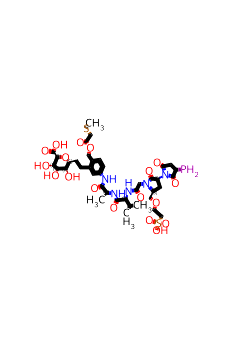 CSCC(=O)OCc1ccc(NC(=O)[C@H](C)NC(=O)[C@@H](NC(=O)CN2C(=O)[C@@H](N3C(=O)CC(P)C3=O)C[C@H]2COCCS(=O)(=O)O)C(C)C)cc1CC[C@@H]1O[C@H](C(=O)O)[C@@H](O)[C@H](O)[C@H]1O